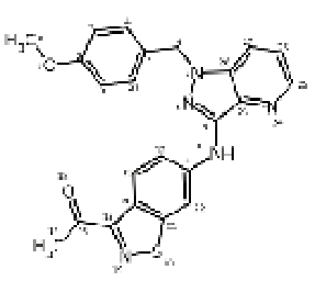 COc1ccc(Cn2nc(Nc3ccc4c(C(C)=O)nsc4c3)c3ncccc32)cc1